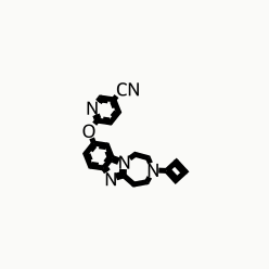 N#Cc1ccc(Oc2ccc3nc4n(c3c2)CCN(C2=CC=C2)CC4)nc1